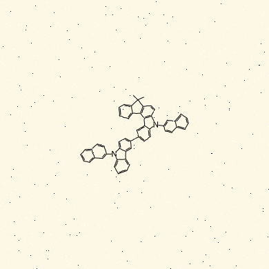 CC1(C)c2ccccc2-c2c1ccc1c2c2cc(-c3ccc4c(c3)c3ccccc3n4-c3ccc4ccccc4c3)ccc2n1-c1ccc2ccccc2c1